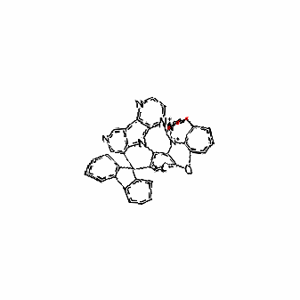 c1ccc2c(c1)-c1ccccc1C21c2ccc3c4c2-n2c5c1cncc5c1ncc[n+](c12)[N+]41c2c(cccc2-c2cccc[n+]21)O3